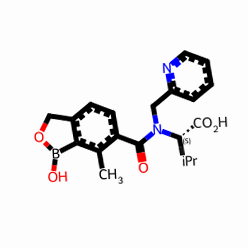 Cc1c(C(=O)N(Cc2ccccn2)[C@H](C(=O)O)C(C)C)ccc2c1B(O)OC2